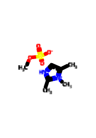 COS(=O)(=O)[O-].Cc1c[nH]c(C)[n+]1C